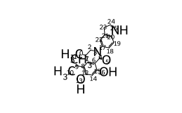 CCCN(C(=O)c1cc(C(C)C)c(O)cc1O)c1ccc2c(c1)CCN2